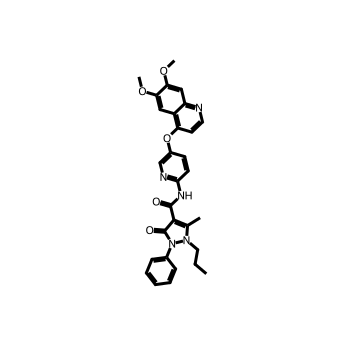 CCCn1c(C)c(C(=O)Nc2ccc(Oc3ccnc4cc(OC)c(OC)cc34)cn2)c(=O)n1-c1ccccc1